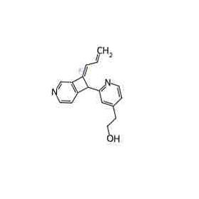 C=C/C=C1/c2cnccc2C1c1cc(CCO)ccn1